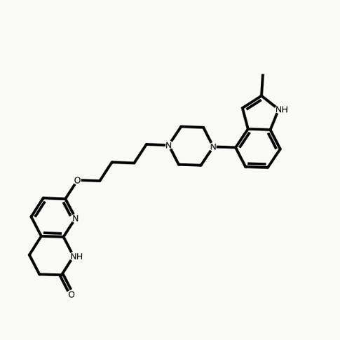 Cc1cc2c(N3CCN(CCCCOc4ccc5c(n4)NC(=O)CC5)CC3)cccc2[nH]1